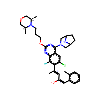 C/C(=C\C(O)=C/c1ccccc1C)c1c(Cl)cc2c(N3CC4CCC(C3)N4)nc(OCCCN3[C@H](C)COC[C@@H]3C)nc2c1F